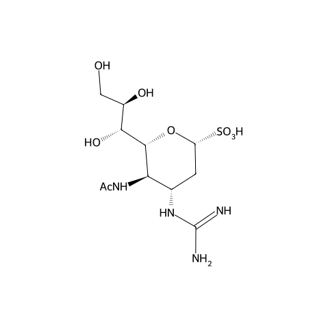 CC(=O)N[C@H]1[C@H]([C@H](O)[C@H](O)CO)O[C@H](S(=O)(=O)O)C[C@@H]1NC(=N)N